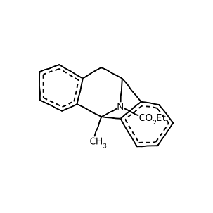 CCOC(=O)N1C2Cc3ccccc3C1(C)c1ccccc12